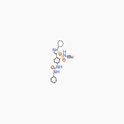 CC(C)(C)NS(=O)(=O)c1cc(NC(=O)NCc2ccccc2)ccc1-c1cnc(C2CCCCC2)s1